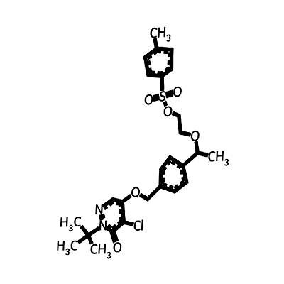 Cc1ccc(S(=O)(=O)OCCOC(C)c2ccc(COc3cnn(C(C)(C)C)c(=O)c3Cl)cc2)cc1